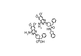 COc1cc2nc(N3CCC(Cc4ccccc4)(C(=O)NC4Cc5ccccc5C4)CC3)nc(N)c2cc1OC.COc1cc2nc(N3CCC(Cc4ccccc4)(C(=O)O)CC3)nc(N)c2cc1OC